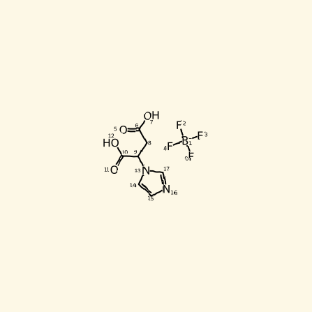 F[B-](F)(F)F.O=C(O)CC(C(=O)O)n1ccnc1